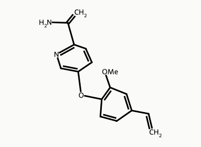 C=Cc1ccc(Oc2ccc(C(=C)N)nc2)c(OC)c1